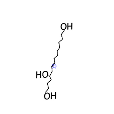 OCCCCCCCC/C=C/CC(O)CCCCO